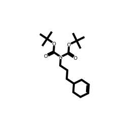 CC(C)(C)OC(=O)N(CCCC1CC=CCC1)C(=O)OC(C)(C)C